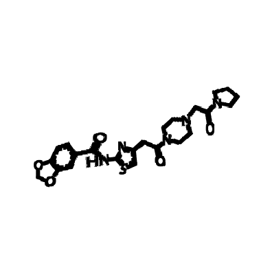 O=C(Nc1nc(CC(=O)N2CCN(CC(=O)N3CCCC3)CC2)cs1)c1ccc2c(c1)OCO2